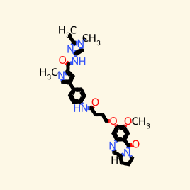 CCc1nc(NC(=O)c2cc(-c3ccc(NC(=O)CCCOc4cc5c(cc4OC)C(=O)N4CCC[C@H]4C=N5)cc3)cn2C)cn1C